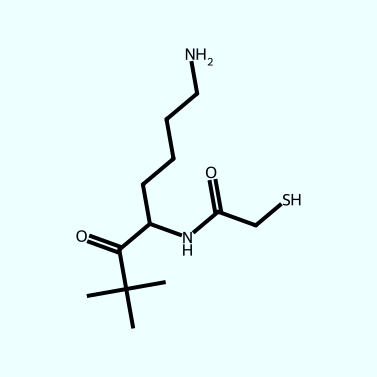 CC(C)(C)C(=O)C(CCCCN)NC(=O)CS